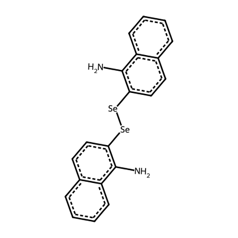 Nc1c([Se][Se]c2ccc3ccccc3c2N)ccc2ccccc12